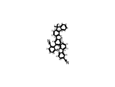 CC1(C)c2ccccc2-c2c1ccc1c2sc2ccc(-c3c(C#N)cccc3-n3c4ccccc4c4cc(C#N)ccc43)cc21